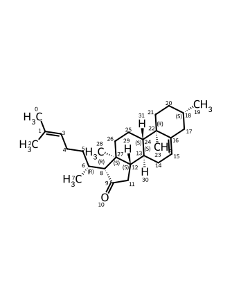 CC(C)=CCC[C@@H](C)[C@H]1C(=O)C[C@H]2[C@@H]3CC=C4C[C@@H](C)CC[C@]4(C)[C@H]3CC[C@]12C